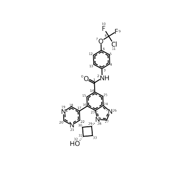 O=C(Nc1ccc(OC(F)(F)Cl)cc1)c1cc(-c2cncnc2)c2c(c1)ncn2[C@H]1C[C@@H](O)C1